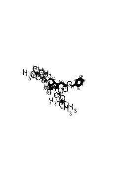 CC(C)(C)OC(=O)OC1=C(CC(=O)OCc2ccccc2)C2CCN(OC(=O)OC(C)(C)C)[C@@H]3C(=O)N1[C@H]23